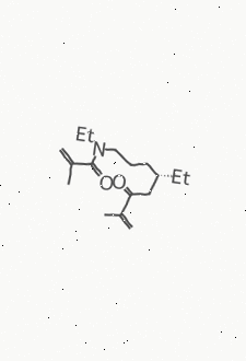 C=C(C)C(=O)C[C@@H](CC)CCCN(CC)C(=O)C(=C)C